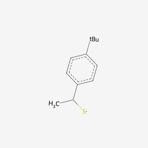 CC([S])c1ccc(C(C)(C)C)cc1